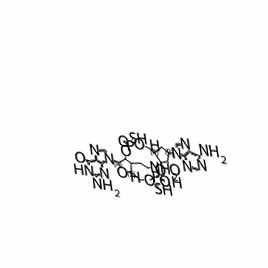 NCCC1C2OP(=O)(S)OC[C@H]3C[C@@H](n4cnc5c(N)ncnc54)C(O)C3OP(=O)(S)OC[C@H]1O[C@H]2n1cnc2c(=O)[nH]c(N)nc21